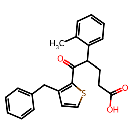 Cc1ccccc1C(CCC(=O)O)C(=O)c1sccc1Cc1ccccc1